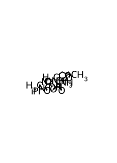 Cc1cc2c(o1)C(Nc1c(Nc3ccnc(C(=O)N(C)C(C)C)c3O)c(=O)c1=O)C(C)(C)CC2